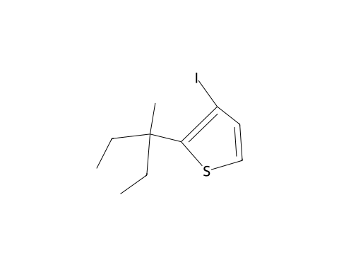 CCC(C)(CC)c1sccc1I